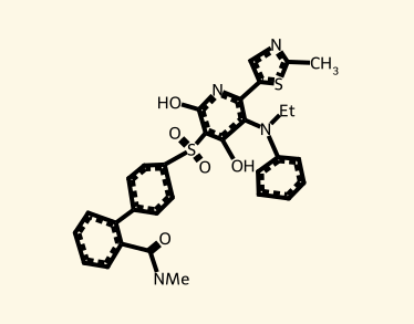 CCN(c1ccccc1)c1c(-c2cnc(C)s2)nc(O)c(S(=O)(=O)c2ccc(-c3ccccc3C(=O)NC)cc2)c1O